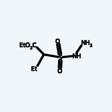 CCOC(=O)C(CC)S(=O)(=O)NN